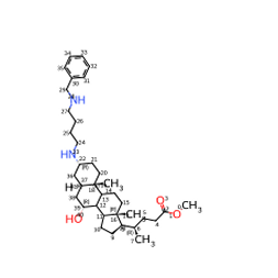 COC(=O)CC[C@@H](C)[C@H]1CCC2C3C(CC[C@@]21C)[C@@]1(C)CC[C@@H](NCCCCNCc2ccccc2)C[C@@H]1C[C@H]3O